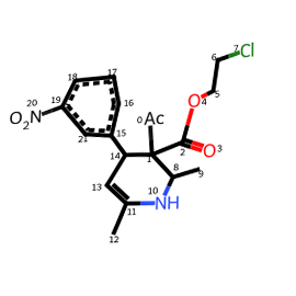 CC(=O)C1(C(=O)OCCCl)C(C)NC(C)=CC1c1cccc([N+](=O)[O-])c1